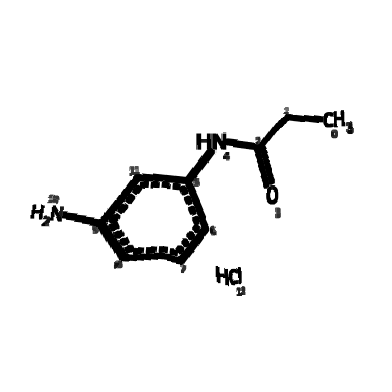 CCC(=O)Nc1cccc(N)c1.Cl